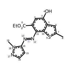 CCOC(=O)c1cc(O)c2cc(C)sc2c1/N=N/c1ccnn1C